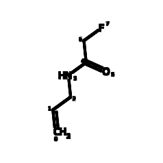 C=CCNC(=O)CF